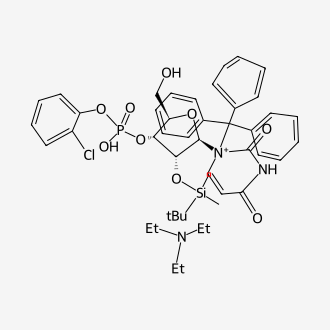 CC(C)(C)[Si](C)(C)O[C@@H]1[C@H](OP(=O)(O)Oc2ccccc2Cl)[C@@H](CO)O[C@H]1[N+]1(C(c2ccccc2)(c2ccccc2)c2ccccc2)C=CC(=O)NC1=O.CCN(CC)CC